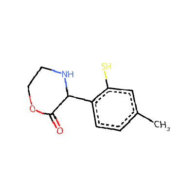 Cc1ccc(C2NCCOC2=O)c(S)c1